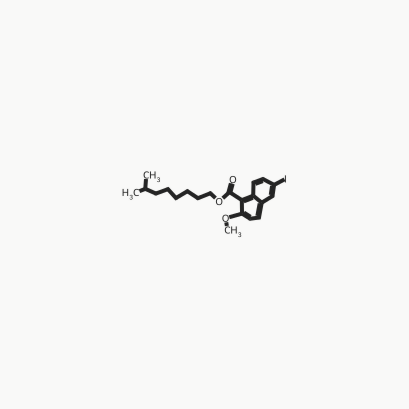 COc1ccc2cc(I)ccc2c1C(=O)OCCCCCCC(C)C